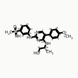 COc1ccc(-c2cnc(Nc3cccc(S(C)(=N)=O)c3)nc2N[C@H](C)CO)cc1